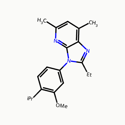 CCc1nc2c(C)cc(C)nc2n1-c1ccc(C(C)C)c(OC)c1